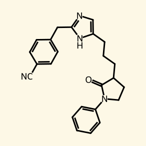 N#Cc1ccc(Cc2ncc(CCCC3CCN(c4ccccc4)C3=O)[nH]2)cc1